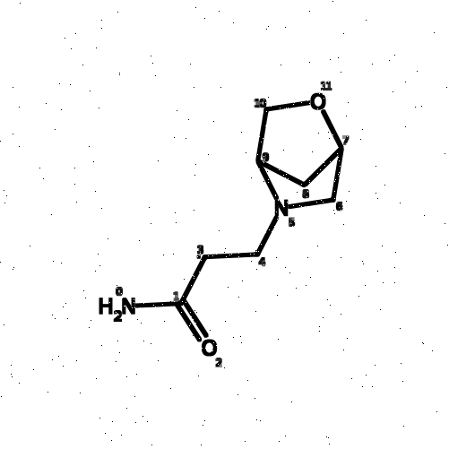 NC(=O)[CH]CN1CC2CC1CO2